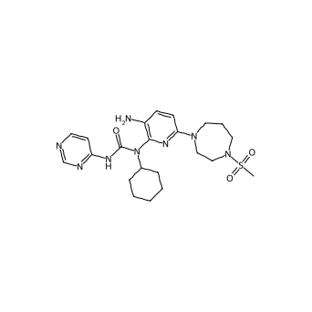 CS(=O)(=O)N1CCCN(c2ccc(N)c(N(C(=O)Nc3ccncn3)C3CCCCC3)n2)CC1